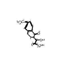 Cc1ccc2c(c1)CCC(C(O)C(=O)O)C2=O